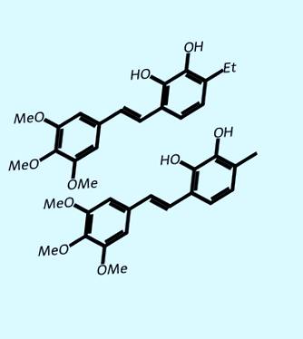 CCc1ccc(C=Cc2cc(OC)c(OC)c(OC)c2)c(O)c1O.COc1cc(C=Cc2ccc(C)c(O)c2O)cc(OC)c1OC